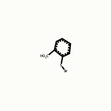 O=C(O)c1ccccc1SBr